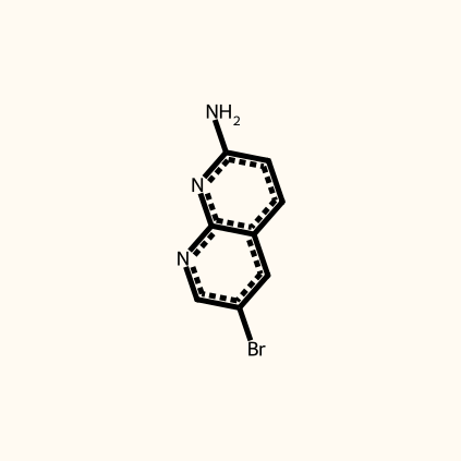 Nc1ccc2cc(Br)cnc2n1